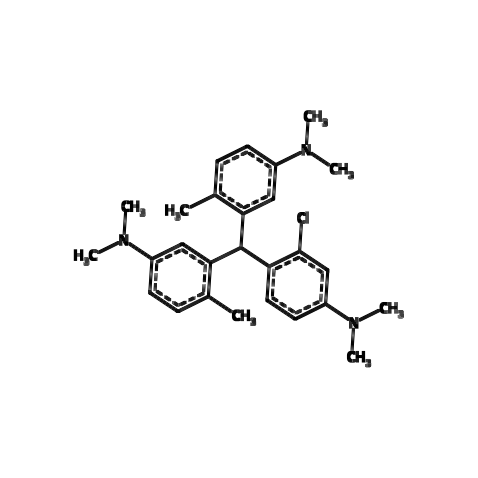 Cc1ccc(N(C)C)cc1C(c1cc(N(C)C)ccc1C)c1ccc(N(C)C)cc1Cl